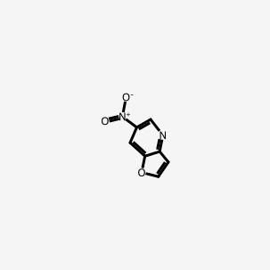 O=[N+]([O-])c1cnc2ccoc2c1